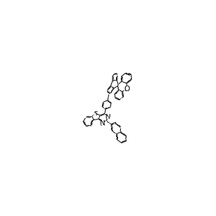 c1ccc2c(c1)Oc1ccccc1C21c2ccccc2-c2ccc(-c3ccc(-c4nc(-c5ccc6ccccc6c5)nc5c4sc4ccccc45)cc3)cc21